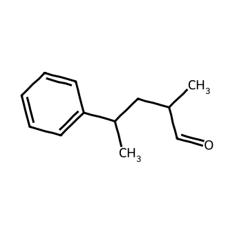 CC(C=O)CC(C)c1ccccc1